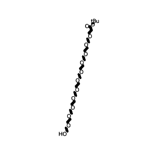 CC(C)(C)OC(=O)CCOCCOCCOCCOCCOCCOCCOCCOCCOCCOCCOCCO